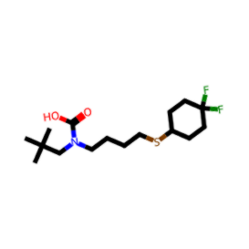 CC(C)(C)CN(CCCCSC1CCC(F)(F)CC1)C(=O)O